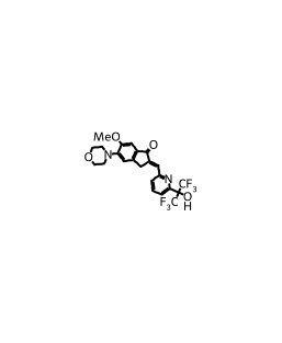 COc1cc2c(cc1N1CCOCC1)CC(=Cc1cccc(C(O)(C(F)(F)F)C(F)(F)F)n1)C2=O